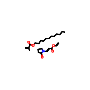 C=C(C)C(=O)OCCCCCCCCCCCC.C=COC(=O)C=CN1CCCC1=O